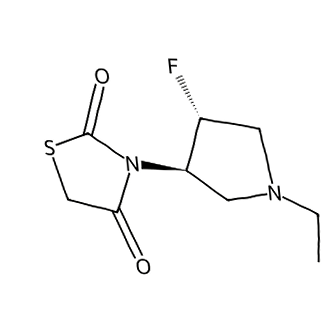 CCN1C[C@@H](F)[C@H](N2C(=O)CSC2=O)C1